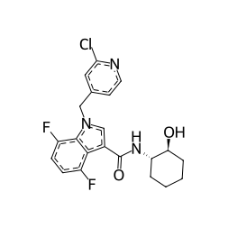 O=C(N[C@H]1CCCC[C@@H]1O)c1cn(Cc2ccnc(Cl)c2)c2c(F)ccc(F)c12